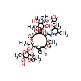 C1CCOC1.CC[C@H]1OC(=O)C[C@@H](O)[C@H](C)[C@@H](O[C@@H]2O[C@H](C)[C@@H](O)[C@H](N(C)C)[C@H]2O)[C@@H](CCN2C[C@H](C)C[C@H](C)C2)C[C@@H](C)C(=O)/C=C/C(C)=C/[C@@H]1CO[C@@H]1O[C@H](C)[C@@H](O)[C@@H](OC)[C@H]1OC